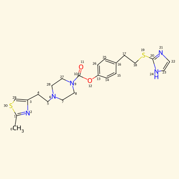 Cc1nc(CCN2CCN(C(=O)Oc3ccc(CCSc4ncc[nH]4)cc3)CC2)cs1